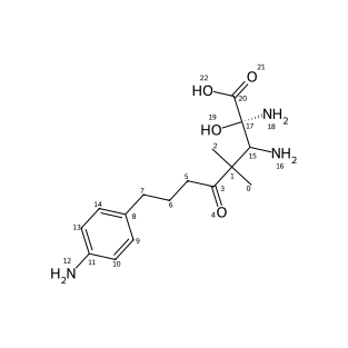 CC(C)(C(=O)CCCc1ccc(N)cc1)C(N)[C@@](N)(O)C(=O)O